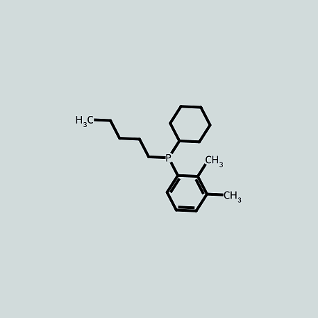 CCCCCP(c1cccc(C)c1C)C1CCCCC1